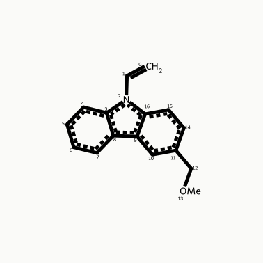 C=Cn1c2ccccc2c2cc(COC)ccc21